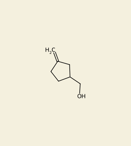 C=C1CCC(CO)C1